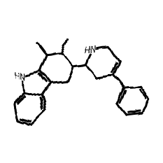 CC1c2[nH]c3ccccc3c2CC(C2CC(c3ccccc3)=CCN2)C1C